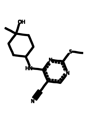 CSc1ncc(C#N)c(NC2CCC(C)(O)CC2)n1